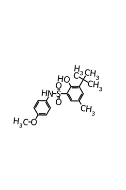 COc1ccc(NS(=O)(=O)c2cc(C)cc(C(C)(C)C)c2O)cc1